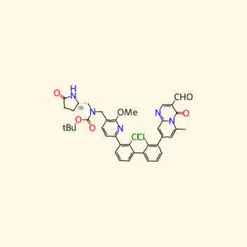 COc1nc(-c2cccc(-c3cccc(-c4cc(C)n5c(=O)c(C=O)cnc5c4)c3Cl)c2Cl)ccc1CN(C[C@@H]1CCC(=O)N1)C(=O)OC(C)(C)C